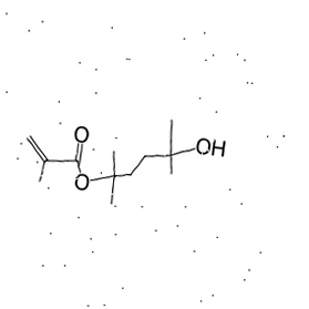 C=C(C)C(=O)OC(C)(C)CCC(C)(C)O